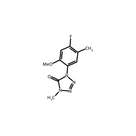 COc1cc(F)c(C)cc1-n1nnn(C)c1=O